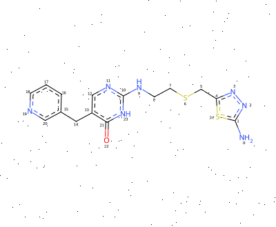 Nc1nnc(CSCCNc2ncc(Cc3cccnc3)c(=O)[nH]2)s1